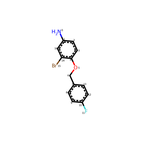 Nc1ccc(OCc2ccc(F)cc2)c(Br)c1